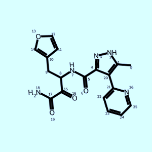 Cc1[nH]nc(C(=O)NC(Cc2ccoc2)C(=O)C(N)=O)c1-c1ccccn1